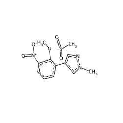 CN(c1c(-c2cnn(C)c2)cccc1[N+](=O)[O-])S(C)(=O)=O